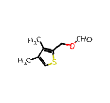 Cc1csc(COC=O)c1C